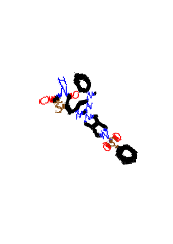 CN(c1ccccc1)c1cc(/C=C2/SC(=O)NC2=O)nc(N2CC3CN(S(=O)(=O)c4ccccc4)CC3C2)n1